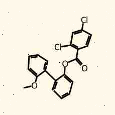 COc1ccccc1-c1ccccc1OC(=O)c1ccc(Cl)cc1Cl